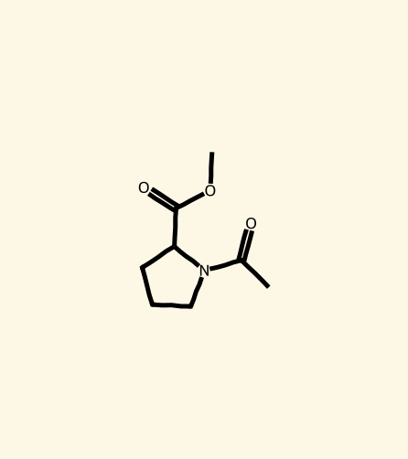 COC(=O)C1CCCN1C(C)=O